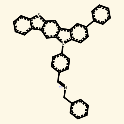 C(=N\Cc1ccccc1)/c1ccc(-n2c3ccc(-c4ccccc4)cc3c3cc4sc5ccccc5c4cc32)cc1